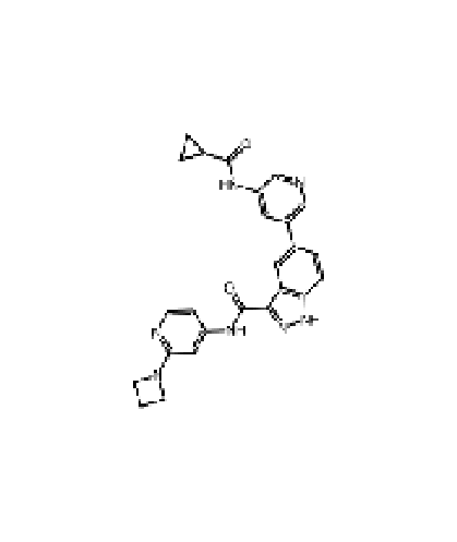 O=C(Nc1ccnc(N2CCC2)c1)c1n[nH]c2ccc(-c3cncc(NC(=O)C4CC4)c3)cc12